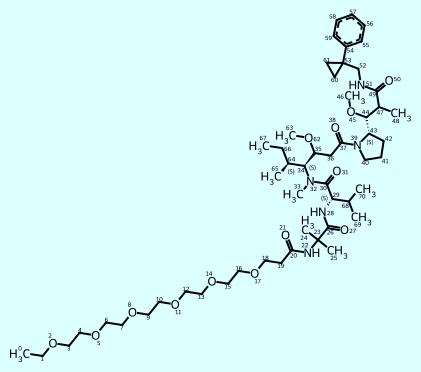 CCOCCOCCOCCOCCOCCOCCC(=O)NC(C)(C)C(=O)N[C@H](C(=O)N(C)[C@H](C(CC(=O)N1CCC[C@H]1C(OC)C(C)C(=O)NCC1(c2ccccc2)CC1)OC)[C@@H](C)CC)C(C)C